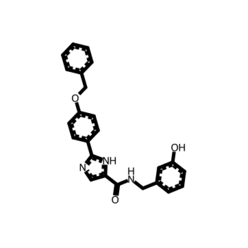 O=C(NCc1cccc(O)c1)c1cnc(-c2ccc(OCc3ccccc3)cc2)[nH]1